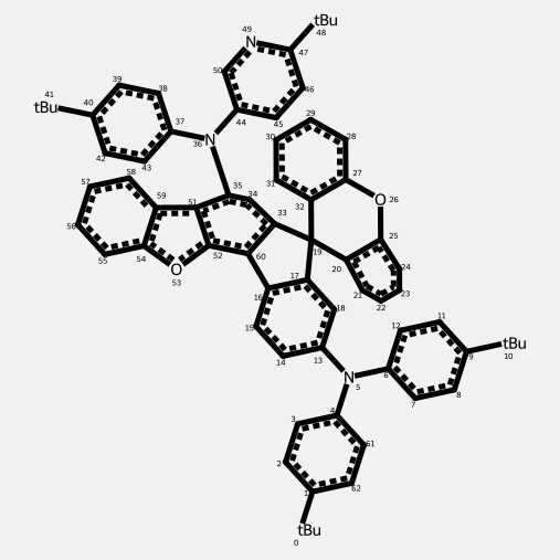 CC(C)(C)c1ccc(N(c2ccc(C(C)(C)C)cc2)c2ccc3c(c2)C2(c4ccccc4Oc4ccccc42)c2cc(N(c4ccc(C(C)(C)C)cc4)c4ccc(C(C)(C)C)nc4)c4c(oc5ccccc54)c2-3)cc1